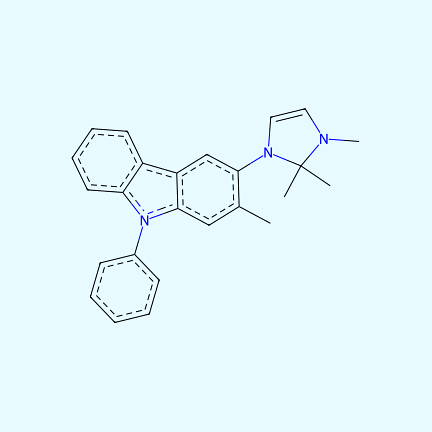 Cc1cc2c(cc1N1C=CN(C)C1(C)C)c1ccccc1n2-c1ccccc1